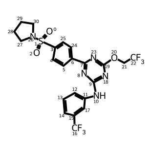 O=S(=O)(c1ccc(-c2nc(Nc3cccc(C(F)(F)F)c3)nc(OCC(F)(F)F)n2)cc1)N1CCCC1